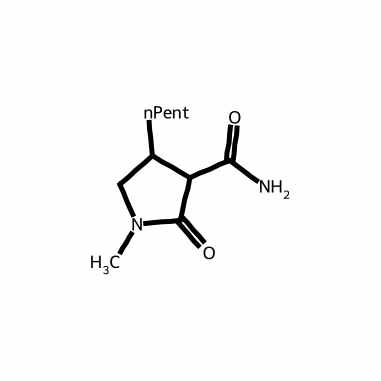 CCCCCC1CN(C)C(=O)C1C(N)=O